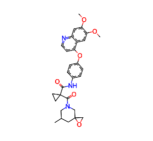 COc1cc2nccc(Oc3ccc(NC(=O)C4(C(=O)N5CC(C)CC6(CO6)C5)CC4)cc3)c2cc1OC